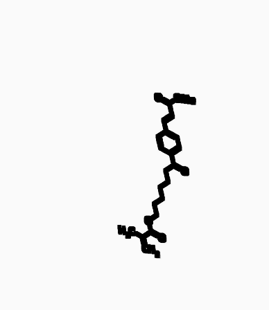 C=C(C)C(=O)OCCCCCCC(=O)c1ccc(C=CC(=O)OC)cc1